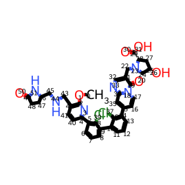 COc1nc(-c2cccc(-c3cccc(-c4ccn5c(=O)c(CN6C[C@@H](O)C[C@H]6C(=O)O)cnc5c4)c3Cl)c2Cl)ccc1CNCC1CCC(=O)N1